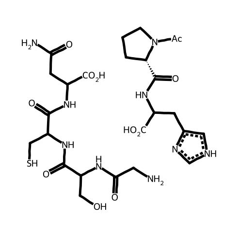 CC(=O)N1CCC[C@H]1C(=O)NC(Cc1c[nH]cn1)C(=O)O.NCC(=O)NC(CO)C(=O)NC(CS)C(=O)NC(CC(N)=O)C(=O)O